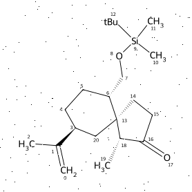 C=C(C)[C@H]1CC[C@H](CO[Si](C)(C)C(C)(C)C)[C@]2(CCC(=O)[C@@H]2C)C1